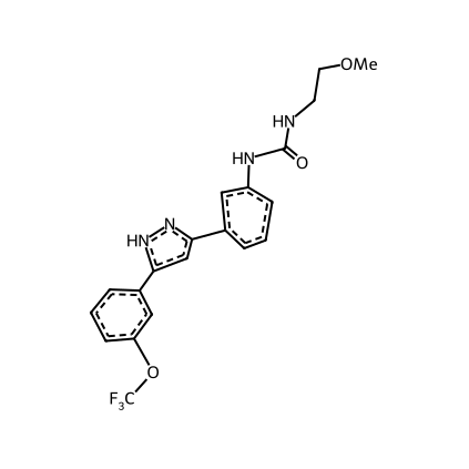 COCCNC(=O)Nc1cccc(-c2cc(-c3cccc(OC(F)(F)F)c3)[nH]n2)c1